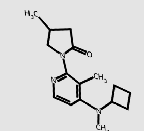 Cc1c(N(C)C2CCC2)ccnc1N1CC(C)CC1=O